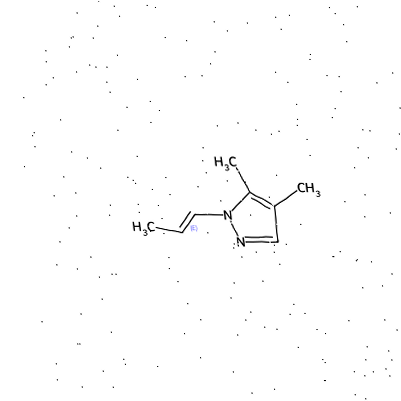 C/C=C/n1ncc(C)c1C